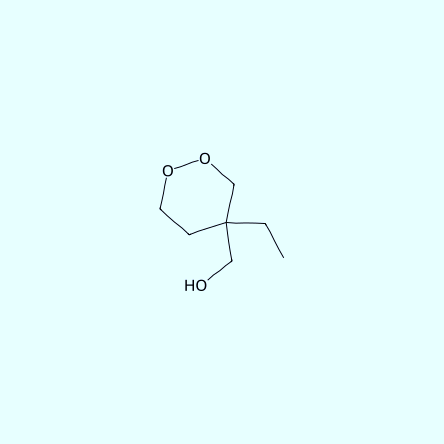 CCC1(CO)CCOOC1